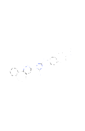 CCCN(CCC)[C@H]1CCc2ccc(Nc3nc(N)n(-c4cc5c(nn4)-c4ccccc4CCC5)n3)cc2CC1